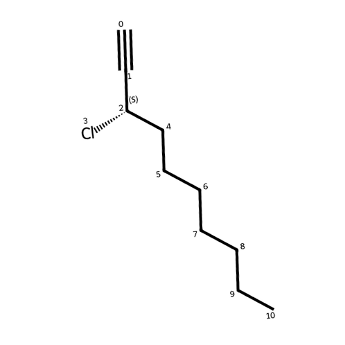 C#C[C@@H](Cl)CCCCCCC